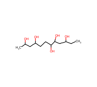 CCC(O)CC(O)C(O)CCC(O)CC(C)O